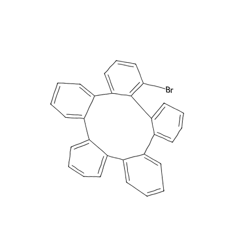 Brc1cccc2c3ccccc3c3ccccc3c3ccccc3c3ccccc3c12